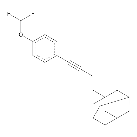 FC(F)Oc1ccc(C#CCCC23CC4CC(CC(C4)C2)C3)cc1